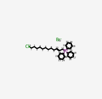 ClCCCCCCCCCC=CC[P+](c1ccccc1)(c1ccccc1)c1ccccc1.[Br-]